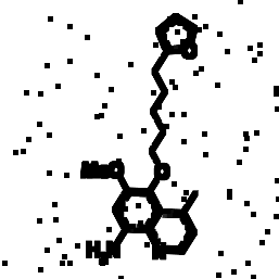 COc1cc(N)c2nccc(C)c2c1OCCCCCc1ccco1